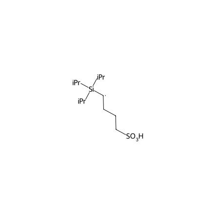 CC(C)[Si]([CH]CCCS(=O)(=O)O)(C(C)C)C(C)C